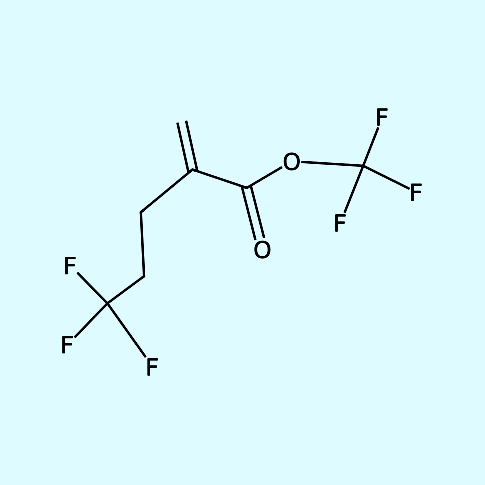 C=C(CCC(F)(F)F)C(=O)OC(F)(F)F